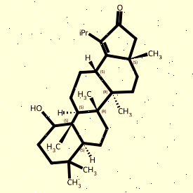 CC(C)C1=C2[C@H]3CC[C@@H]4[C@@]5(C)C(O)CCC(C)(C)[C@@H]5CC[C@@]4(C)[C@]3(C)CC[C@@]2(C)CC1=O